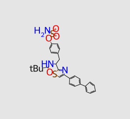 CC(C)(C)C(=O)NC(Cc1ccc(OS(N)(=O)=O)cc1)c1nc(-c2ccc(-c3ccccc3)cc2)cs1